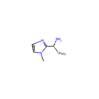 CCCCCC(N)c1nccn1C